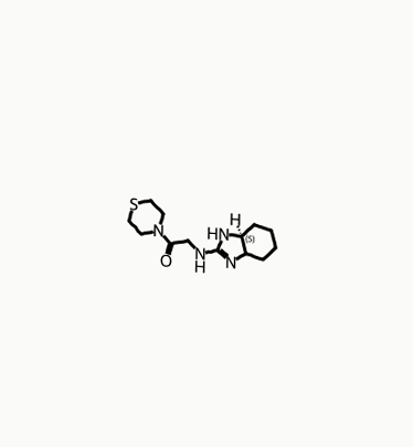 O=C(CNC1=NC2CCCC[C@@H]2N1)N1CCSCC1